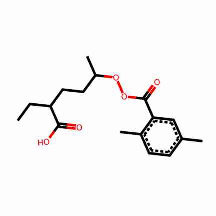 CCC(CCC(C)OOC(=O)c1cc(C)ccc1C)C(=O)O